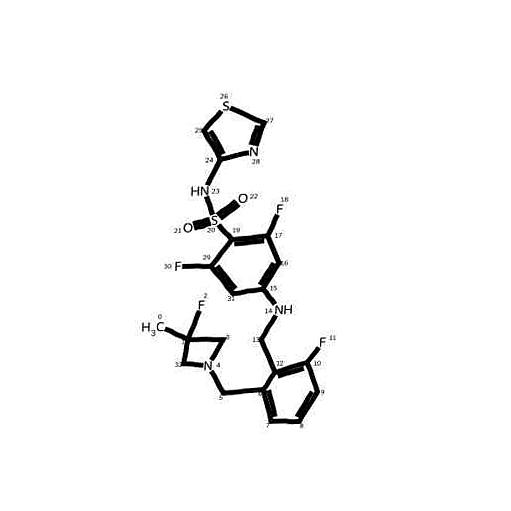 CC1(F)CN(Cc2cccc(F)c2CNc2cc(F)c(S(=O)(=O)Nc3cscn3)c(F)c2)C1